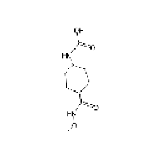 CONC(=O)[C@H]1CC[C@H](NC(=O)O)CC1